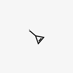 IC1C=C1